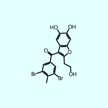 Cc1c(Br)cc(C(=O)c2c(CCO)oc3cc(O)c(O)cc23)cc1Br